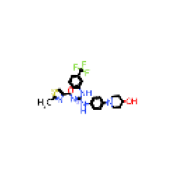 Cc1nc(C(=O)/N=C(/Nc2ccc(N3CCC(O)CC3)cc2)Nc2cccc(C(F)(F)F)c2)cs1